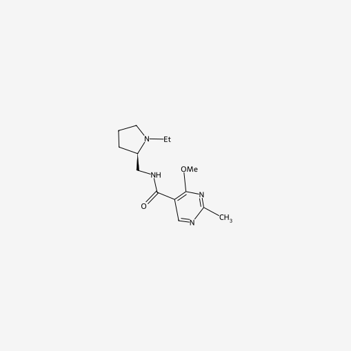 CCN1CCC[C@@H]1CNC(=O)c1cnc(C)nc1OC